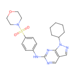 O=S(=O)(c1ccc(Nc2ncc3cnn(C4CCCCC4)c3n2)cc1)N1CCOCC1